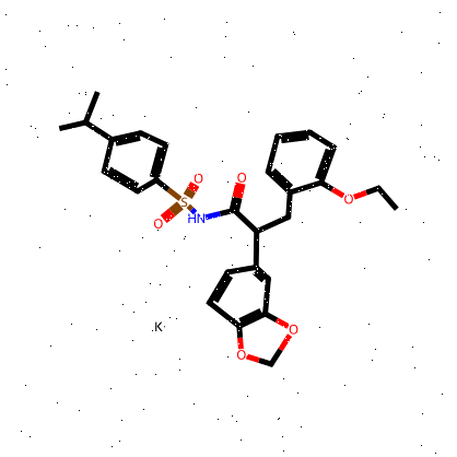 CCOc1ccccc1CC(C(=O)NS(=O)(=O)c1ccc(C(C)C)cc1)c1ccc2c(c1)OCO2.[K]